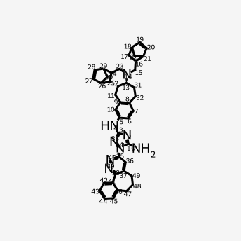 Nc1nc(Nc2ccc3c(c2)CC[C@@H](N(CC2CC4C=CC2C4)CC2CC4C=CC2C4)CC3)nn1-c1cc2c(nn1)-c1ccccc1CCC2